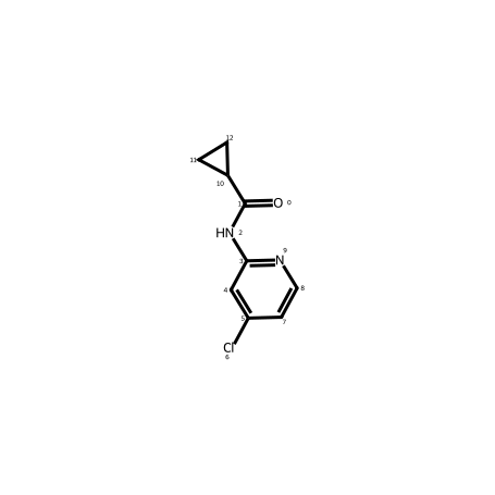 O=C(Nc1cc(Cl)ccn1)C1CC1